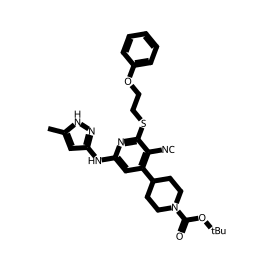 [C-]#[N+]c1c(C2CCN(C(=O)OC(C)(C)C)CC2)cc(Nc2cc(C)[nH]n2)nc1SCCOc1ccccc1